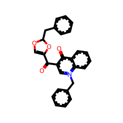 O=C(C1=COC(Cc2ccccc2)O1)c1cn(Cc2ccccc2)c2ccccc2c1=O